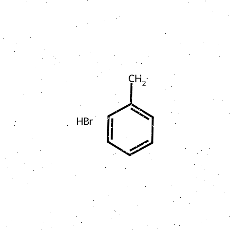 Br.[CH2]c1ccccc1